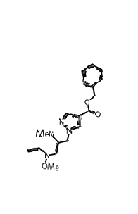 C=CN(/C=C(/Cn1cc(C(=O)OCc2ccccc2)cn1)NC)OC